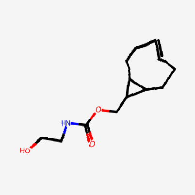 O=C(NCCO)OCC1C2CC/C=C/CCC21